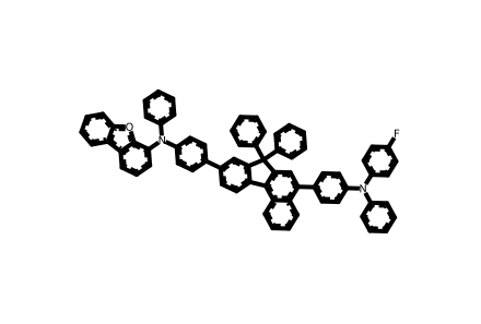 Fc1ccc(N(c2ccccc2)c2ccc(-c3cc4c(c5ccccc35)-c3ccc(-c5ccc(N(c6ccccc6)c6cccc7c6oc6ccccc67)cc5)cc3C4(c3ccccc3)c3ccccc3)cc2)cc1